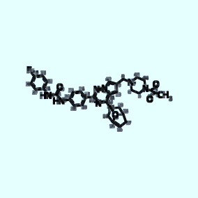 CS(=O)(=O)N1CCN(Cc2cc3c(N4CC5=CCC(C4)O5)nc(-c4ccc(NC(=O)Nc5ccc(F)cc5)cc4)nn3c2)CC1